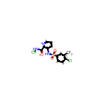 O=C(NCl)c1ncccc1NS(=O)(=O)c1ccc(Cl)c(C(F)(F)F)c1